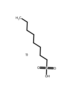 CCCCCCCCS(=O)(=O)O.[Tl]